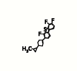 CC1CC1C1CC=C(c2ccc3c(sc4c(F)c(F)ccc43)c2F)CC1